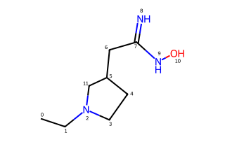 CCN1CCC(CC(=N)NO)C1